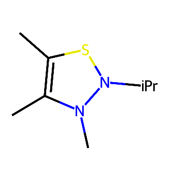 CC1=C(C)N(C)N(C(C)C)S1